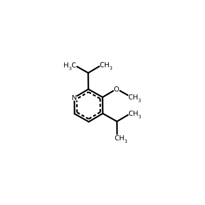 COc1c(C(C)C)ccnc1C(C)C